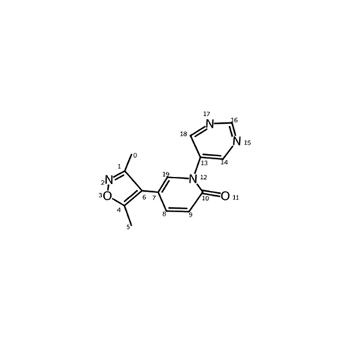 Cc1noc(C)c1-c1ccc(=O)n(-c2cncnc2)c1